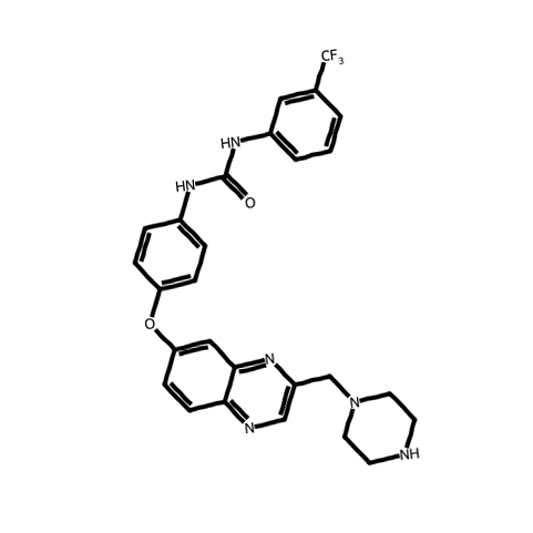 O=C(Nc1ccc(Oc2ccc3ncc(CN4CCNCC4)nc3c2)cc1)Nc1cccc(C(F)(F)F)c1